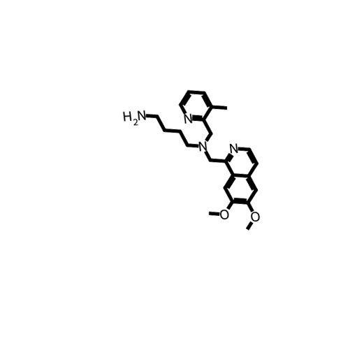 COc1cc2ccnc(CN(CCCCN)Cc3ncccc3C)c2cc1OC